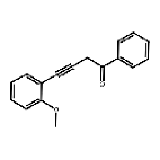 COc1ccccc1C#CCC(=O)c1ccccc1